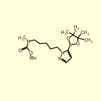 CN(CCCCCn1nccc1B1OC(C)(C)C(C)(C)O1)C(=O)OC(C)(C)C